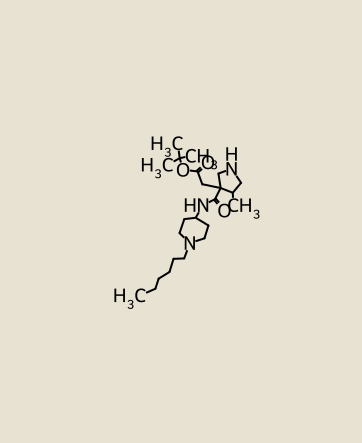 CCCCCCN1CCC(NC(=O)C2(CC(=O)OC(C)(C)C)CNCC2C)CC1